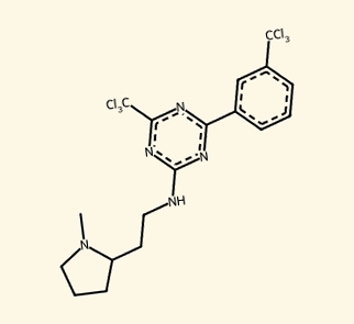 CN1CCCC1CCNc1nc(-c2cccc(C(Cl)(Cl)Cl)c2)nc(C(Cl)(Cl)Cl)n1